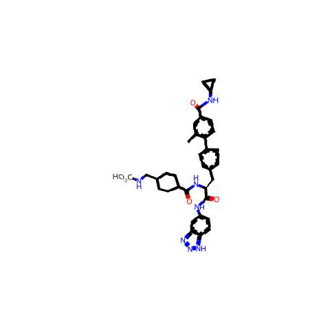 Cc1cc(C(=O)NC2CC2)ccc1-c1ccc(C[C@H](NC(=O)C2CCC(CNC(=O)O)CC2)C(=O)Nc2ccc3[nH]nnc3c2)cc1